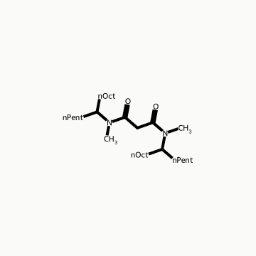 CCCCCCCCC(CCCCC)N(C)C(=O)CC(=O)N(C)C(CCCCC)CCCCCCCC